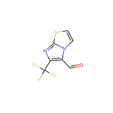 O=Cc1c(C(F)(F)F)nc2sccn12